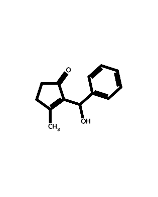 CC1=C(C(O)c2ccccc2)C(=O)CC1